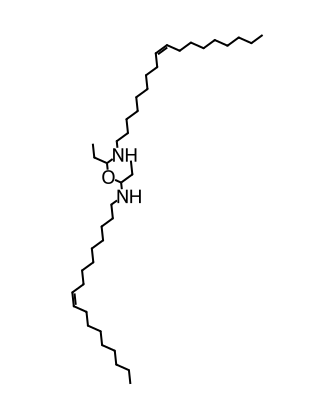 CCCCCCCC/C=C\CCCCCCCCNC(CC)OC(CC)NCCCCCCCC/C=C\CCCCCCCC